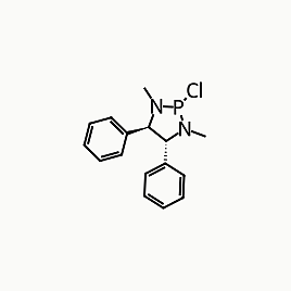 CN1[C@H](c2ccccc2)[C@@H](c2ccccc2)N(C)P1Cl